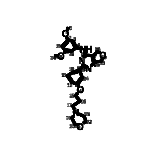 COc1cc(Nc2nc(-c3cccc(OCCCN4CCOCC4)c3)nc3c2COC3)cc(OC)c1